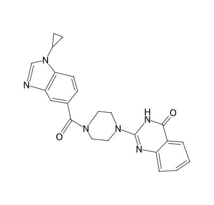 O=C(c1ccc2c(c1)ncn2C1CC1)N1CCN(c2nc3ccccc3c(=O)[nH]2)CC1